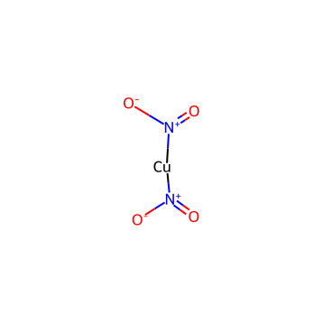 O=[N+]([O-])[Cu][N+](=O)[O-]